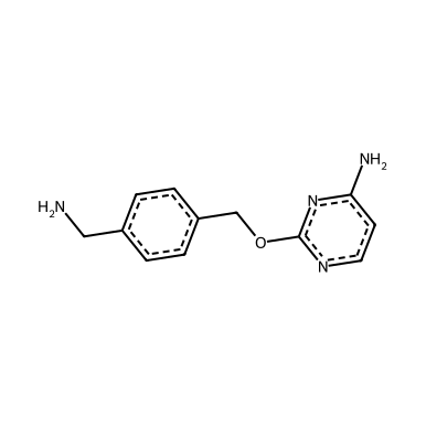 NCc1ccc(COc2nccc(N)n2)cc1